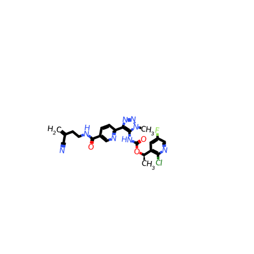 C=C(C#N)CCNC(=O)c1ccc(-c2nnn(C)c2NC(=O)O[C@H](C)c2cc(F)cnc2Cl)nc1